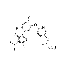 Cc1nn(-c2cc(Oc3ccc(OC(C)C(=O)O)cn3)c(Cl)cc2F)c(=O)n1C(F)F